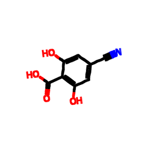 N#Cc1cc(O)c(C(=O)O)c(O)c1